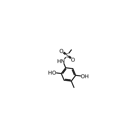 Cc1cc(O)c(NS(C)(=O)=O)cc1O